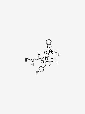 Cc1ccc(-c2ccc(F)cc2)cc1N(CC(=O)NCCNC(C)C)CC(=O)N(C)N1Cc2ccccc2C1